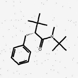 CN(C(=O)[C@H](Cc1ccccc1)C(C)(C)C)C(C)(C)C